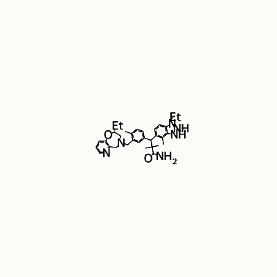 CC[C@@H]1CN(Cc2cc([C@@H](c3ccc4c(c3C)NNN4CC)C(C)(C)C(N)=O)ccc2C)Cc2ncccc2O1